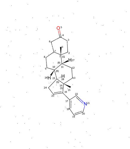 C[C@]12CCC(=O)CC1CC[C@@H]1[C@H]2CC[C@]2(C)C(c3cccnc3)=CC[C@@H]12